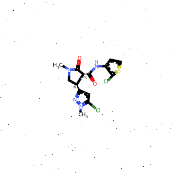 CN1C[C@H](c2cc(Cl)n(C)n2)[C@@H](C(=O)Nc2ccsc2Cl)C1=O